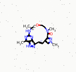 Cc1nc2nc3c(n[nH]c13)/C=C/c1cn(C)nc1C(=O)N(C)CCOC[C@@H](C)N2